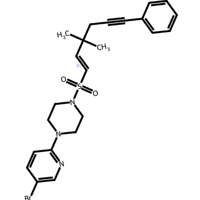 CC(C)(/C=C/S(=O)(=O)N1CCN(c2ccc(Br)cn2)CC1)CC#Cc1ccccc1